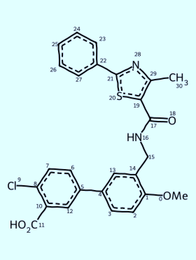 COc1ccc(-c2ccc(Cl)c(C(=O)O)c2)cc1CNC(=O)c1sc(-c2ccccc2)nc1C